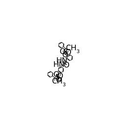 CC(c1ccccc1)S(=O)(=O)Oc1ccc(NC(=O)Nc2ccccc2OS(=O)(=O)C(C)c2ccccc2)cc1